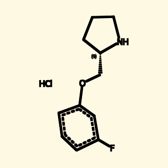 Cl.Fc1cccc(OC[C@@H]2CCCN2)c1